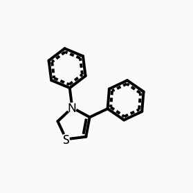 C1=C(c2ccccc2)N(c2ccccc2)CS1